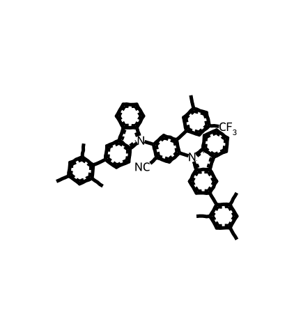 Cc1cc(-c2cc(-n3c4ccccc4c4cc(-c5c(C)cc(C)cc5C)ccc43)c(C#N)cc2-n2c3ccccc3c3cc(-c4c(C)cc(C)cc4C)ccc32)cc(C(F)(F)F)c1